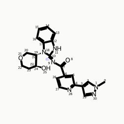 Cn1cc(-c2cc(C(=O)/N=c3\[nH]c4ccccc4n3[C@H]3COCC[C@@H]3O)ccn2)cn1